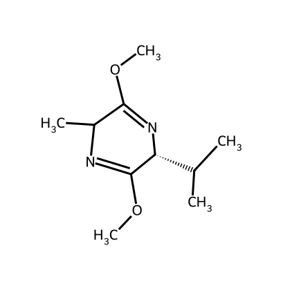 COC1=N[C@H](C(C)C)C(OC)=NC1C